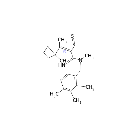 C/C(=C(\C=S)C(=N)N(C)Cc1ccc(C)c(C)c1C)C1(C)CCC1